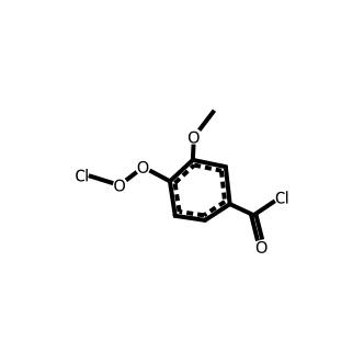 COc1cc(C(=O)Cl)ccc1OOCl